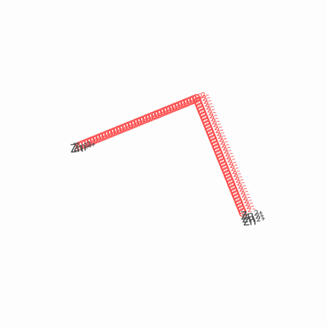 [O-2].[O-2].[O-2].[O-2].[O-2].[O-2].[O-2].[O-2].[O-2].[O-2].[O-2].[O-2].[O-2].[O-2].[O-2].[O-2].[O-2].[O-2].[O-2].[O-2].[O-2].[O-2].[O-2].[O-2].[O-2].[O-2].[O-2].[O-2].[O-2].[O-2].[O-2].[O-2].[O-2].[O-2].[O-2].[O-2].[O-2].[O-2].[O-2].[O-2].[O-2].[O-2].[O-2].[O-2].[O-2].[O-2].[O-2].[O-2].[O-2].[O-2].[O-2].[O-2].[O-2].[O-2].[O-2].[O-2].[O-2].[O-2].[O-2].[O-2].[O-2].[O-2].[O-2].[O-2].[O-2].[O-2].[O-2].[O-2].[O-2].[O-2].[O-2].[O-2].[O-2].[O-2].[O-2].[O-2].[O-2].[O-2].[O-2].[O-2].[Zn+2].[Zn+2].[Zn+2].[Zn+2].[Zn+2]